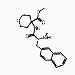 CN[C@@H](Cc1ccc2ccccc2c1)C(=O)NC1(C(=O)OC)CCOCC1